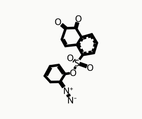 [N-]=[N+]=C1CC=CC=C1OS(=O)(=O)c1cccc2c1C=CC(=O)C2=O